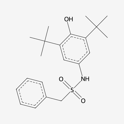 CC(C)(C)c1cc(NS(=O)(=O)Cc2ccccc2)cc(C(C)(C)C)c1O